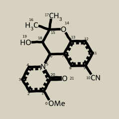 COc1cccn(C2c3cc(C#N)ccc3OC(C)(C)C2O)c1=O